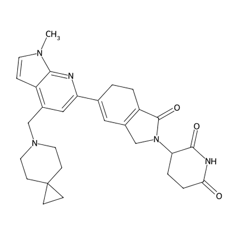 Cn1ccc2c(CN3CCC4(CC3)CC4)cc(C3=CC4=C(CC3)C(=O)N(C3CCC(=O)NC3=O)C4)nc21